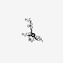 C=CCOC(=O)OCCCc1ccc(C(C)(C)CC)cc1C(C)(C)CC